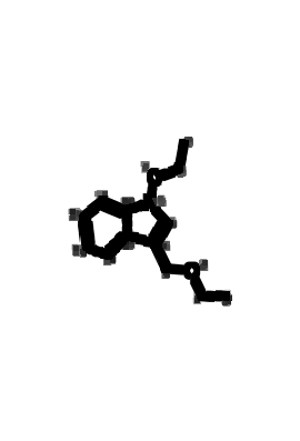 CCOCc1cn(OCC)c2ccccc12